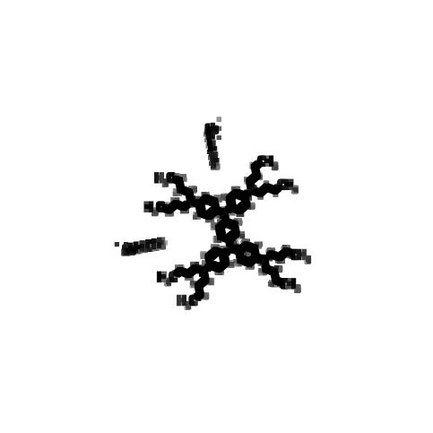 CCCCN(CCCC)c1ccc(N(c2ccc(N(CCCC)CCCC)cc2)c2ccc([N+](=C3C=CC(=[N+](CCCC)CCCC)C=C3)c3ccc(N(CCCC)CCCC)cc3)cc2)cc1.[F].[F].[F].[F].[F].[F].[F].[F].[F].[F].[F].[F].[Sb].[Sb]